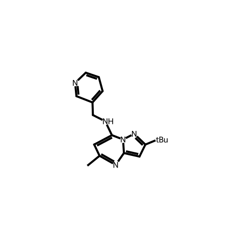 Cc1cc(NCc2cccnc2)n2nc(C(C)(C)C)cc2n1